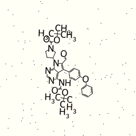 CC(C)(C)OC(=O)Nc1ncnc2c1c(-c1ccc(Oc3ccccc3)cc1)c(C=O)n2C1CCN(C(=O)OC(C)(C)C)C1